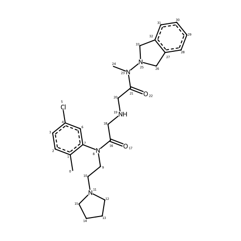 Cc1ccc(Cl)cc1N(CCN1CCCC1)C(=O)CNCC(=O)N(C)N1Cc2ccccc2C1